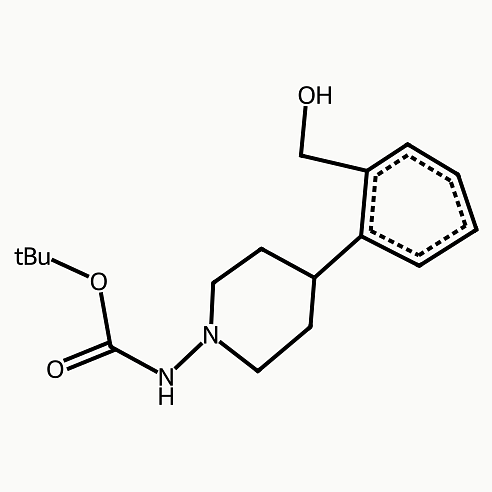 CC(C)(C)OC(=O)NN1CCC(c2ccccc2CO)CC1